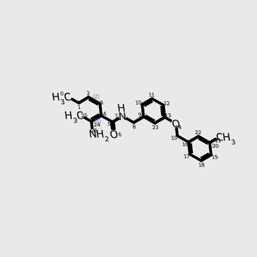 CC/C=C\C(C(=O)NCc1cccc(OCc2cccc(C)c2)c1)=C(/C)N